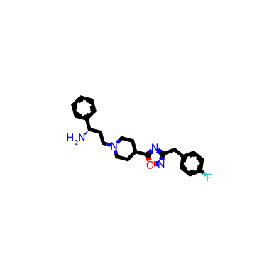 N[C@@H](CCN1CCC(c2nc(Cc3ccc(F)cc3)no2)CC1)c1ccccc1